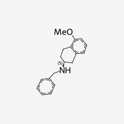 COc1cccc2c1CC[C@H](NCc1ccccc1)C2